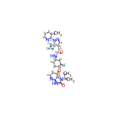 Cc1cccnc1-n1ncc(C2OC2Nc2ccc(Oc3ccnc4[nH]c(=O)n(C(C)C)c34)c(F)c2)c1C(F)(F)F